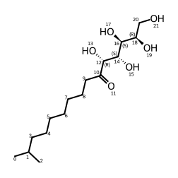 CC(C)CCCCCCCC(=O)[C@H](O)[C@@H](O)[C@@H](O)[C@H](O)CO